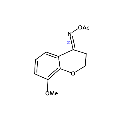 COc1cccc2c1OCC/C2=N\OC(C)=O